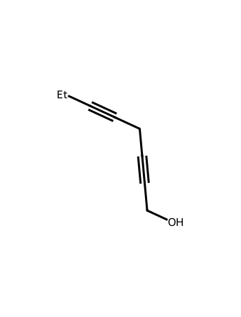 CCC#CCC#CCO